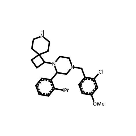 COc1ccc(CN2CCN(C3CCC34CCNCC4)C(c3ccccc3C(C)C)C2)c(Cl)c1